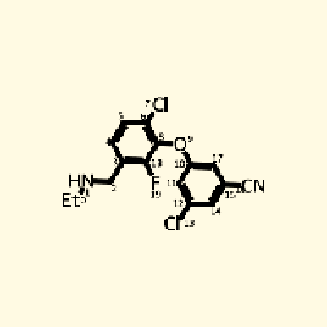 CCNCc1ccc(Cl)c(Oc2cc(Cl)cc(C#N)c2)c1F